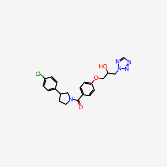 O=C(c1ccc(OCC(O)Cn2ncnn2)cc1)N1CCC(c2ccc(Cl)cc2)C1